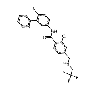 O=C(Nc1ccc(I)c(-c2ccccn2)c1)c1ccc(CNCC(F)(F)F)cc1Cl